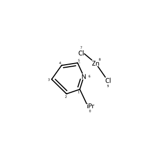 CC(C)c1ccc[c]n1.[Cl][Zn][Cl]